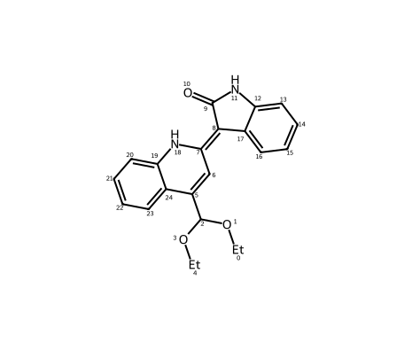 CCOC(OCC)C1=C/C(=C2/C(=O)Nc3ccccc32)Nc2ccccc21